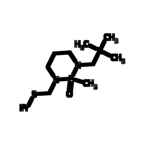 CC(C)SCN1CCCN(C[Si](C)(C)C)P1(C)=O